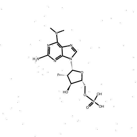 CN(C)c1nc(N)nc2c1ncn2[C@@H]1O[C@H](COP(=O)(O)O)[C@@H](O)[C@@H]1F